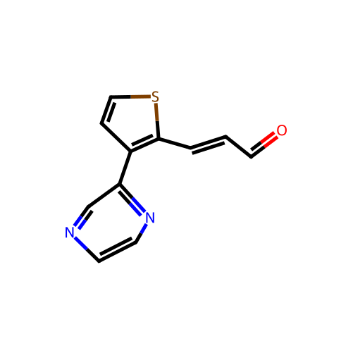 O=CC=Cc1sccc1-c1cnccn1